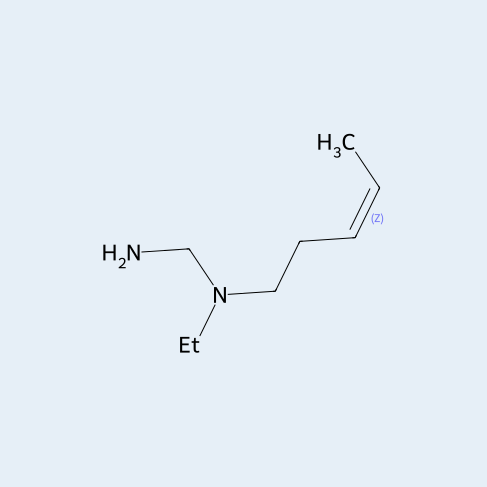 C/C=C\CCN(CC)CN